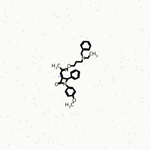 CCN(CCCON=C(C)/C=C1/C(=O)N(c2ccc(OC)cc2)C1c1ccccc1)Cc1ccccc1